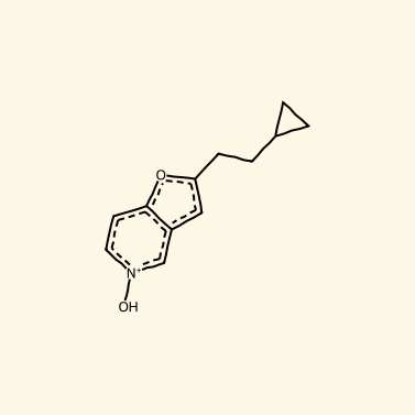 O[n+]1ccc2oc(CCC3CC3)cc2c1